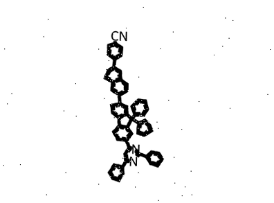 N#Cc1ccc(-c2ccc3cc(-c4ccc5c(c4)C(c4ccccc4)(c4ccccc4)c4cc(-c6cc(-c7ccccc7)nc(-c7ccccc7)n6)ccc4-5)ccc3c2)cc1